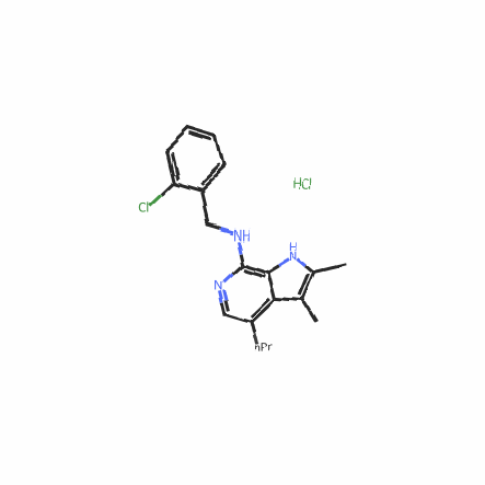 CCCc1cnc(NCc2ccccc2Cl)c2[nH]c(C)c(C)c12.Cl